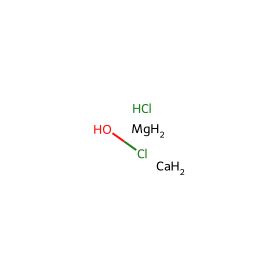 Cl.OCl.[CaH2].[MgH2]